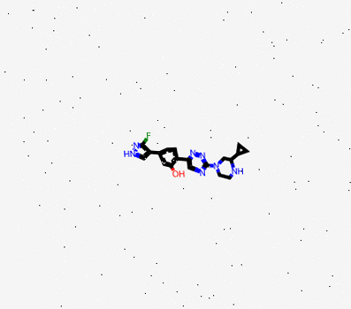 Oc1cc(-c2c[nH]nc2F)ccc1-c1cnc(N2CCNC(C3CC3)C2)nn1